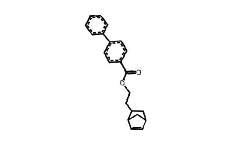 O=C(OCCC1CC2C=CC1C2)c1ccc(-c2ccccc2)cc1